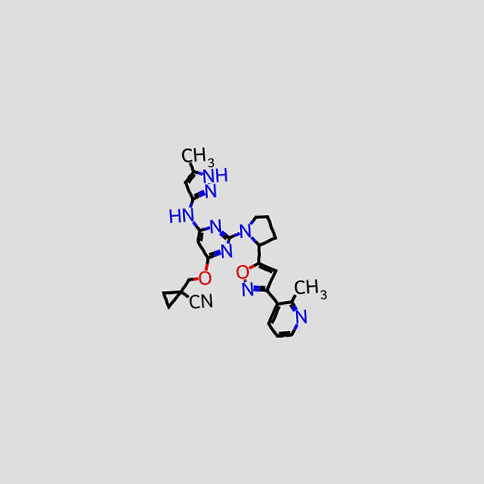 Cc1cc(Nc2cc(OCC3(C#N)CC3)nc(N3CCCC3c3cc(-c4cccnc4C)no3)n2)n[nH]1